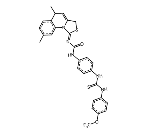 Cc1ccc2c(c1)N1C(=CC2C)CS/C1=N\C(=O)Nc1ccc(NC(=S)Nc2ccc(OC(F)(F)F)cc2)cc1